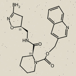 BC1=NO[C@H](CNC(=O)[C@@H]2CCCCN2C(=O)OCc2cnc3ccccc3c2)C1